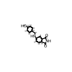 O=C1NC(=O)c2cc(NCc3ccc(O)cc3)ccc21